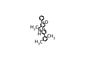 C=C(Nc1cc(-c2cc(C)ccc2C)ccn1)c1ccc(=O)n(-c2ccccc2)c1